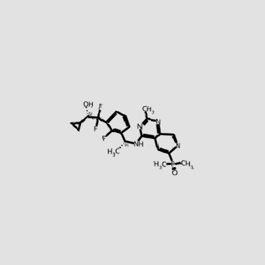 Cc1nc(N[C@H](C)c2cccc(C(F)(F)[C@@H](O)C3CC3)c2F)c2cc(P(C)(C)=O)ncc2n1